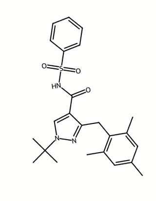 Cc1cc(C)c(Cc2nn(C(C)(C)C)cc2C(=O)NS(=O)(=O)c2ccccc2)c(C)c1